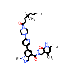 C=CCC(C)(CC)CCC(=O)N1CCN(c2ccc(-c3cc(C(=O)NCc4c(C)cc(C)[nH]c4=O)c4cnn(C(C)C)c4c3)cn2)CC1